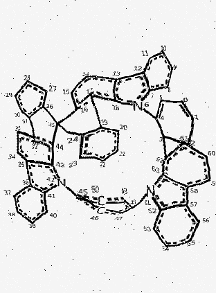 C1=CCC2C(=C1)n1c3ccccc3c3ccc4c(c31)-c1ccccc1C41c3ccccc3-c3ccc4c5ccccc5n(c4c31)-c1ccc(cc1)-n1c3ccccc3c3cccc2c31